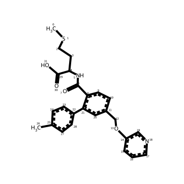 CSCCC(NC(=O)c1ccc(COc2cccnc2)cc1-c1ccc(C)cc1)C(=O)O